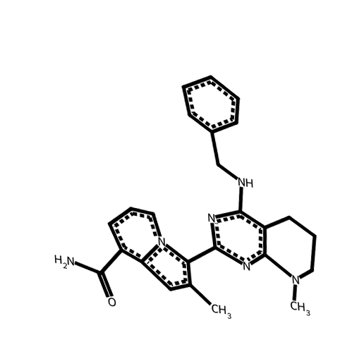 Cc1cc2c(C(N)=O)cccn2c1-c1nc(NCc2ccccc2)c2c(n1)N(C)CCC2